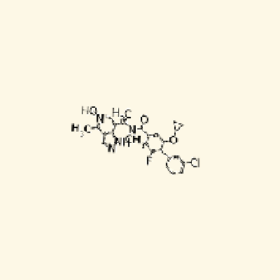 Cc1c2cn[nH]c2c([C@@H](C)N(C)C(=O)c2cc(F)c(-c3cccc(Cl)c3)c(OC3CC3)c2)c[n+]1O